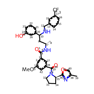 COc1cc(C(=O)N[C@@H](C)CC(NCc2cccc(C(F)(F)F)c2)c2cccc(O)c2)cc(C(=O)N2CCC[C@@H]2c2nc(C)co2)c1